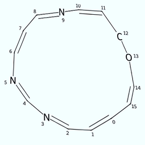 C1=CC=NC=NC=CC=NC=CCOC=C1